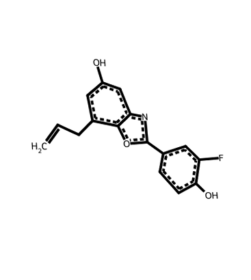 C=CCc1cc(O)cc2nc(-c3ccc(O)c(F)c3)oc12